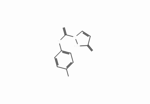 C=C(Nc1ccc(Cl)cc1)n1ccc(=O)[nH]1